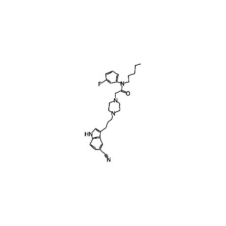 CCCCCN(C(=O)CN1CCN(CCCc2c[nH]c3ccc(C#N)cc23)CC1)c1cccc(F)c1